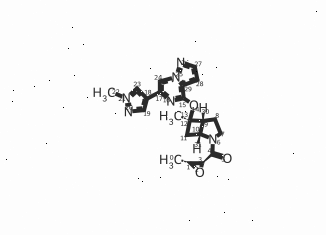 C[C@H]1O[C@@H]1C(=O)N1CC[C@@H]2[C@H]1C[C@@]2(C)Oc1nc(-c2cnn(C)c2)cn2nccc12